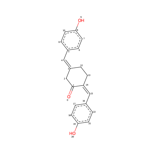 O=C1CC(=Cc2ccc(O)cc2)CCC1=Cc1ccc(O)cc1